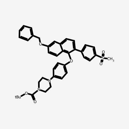 CC(C)(C)OC(=O)N1CCN(c2ccc(Oc3c(-c4ccc(S(C)(=O)=O)cc4)ccc4cc(OCc5ccccc5)ccc34)cc2)CC1